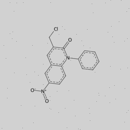 O=c1c(CCl)cc2cc([N+](=O)[O-])ccc2n1-c1ccccc1